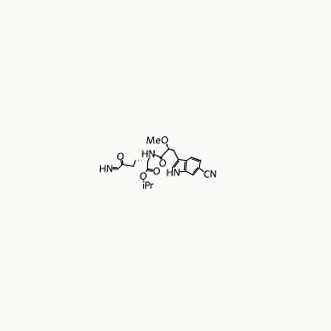 CO[C@@H](Cc1c[nH]c2cc(C#N)ccc12)C(=O)N[C@@H](CCC(=O)C=N)C(=O)OC(C)C